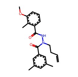 C=CCCN(NC(=O)c1cccc(OC)c1C)C(=O)c1cc(C)cc(C)c1